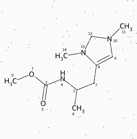 COC(=O)NC(C)CC1=CN(C)CN1C